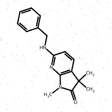 CN1C(=O)C(C)(C)c2ccc(NCc3ccccc3)nc21